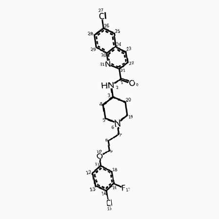 O=C(NC1CCN(CCCOc2ccc(Cl)c(F)c2)CC1)c1ccc2cc(Cl)ccc2n1